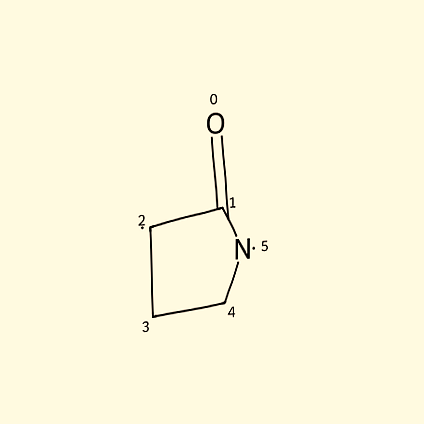 O=C1[CH]CC[N]1